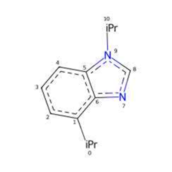 CC(C)c1cccc2c1ncn2C(C)C